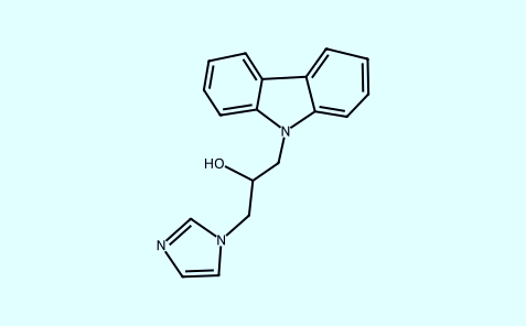 OC(Cn1ccnc1)Cn1c2ccccc2c2ccccc21